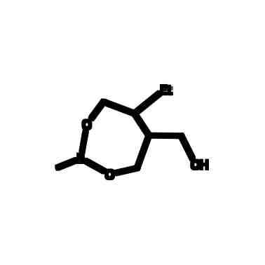 CCC1COB(C)OCC1CO